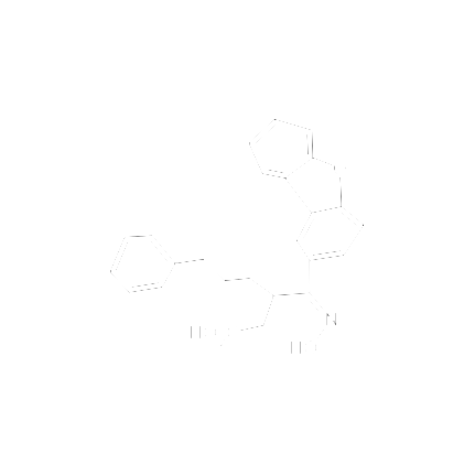 O=C(O)CC(CCCc1ccccc1)/C(=N\O)c1ccc2oc3ccccc3c2c1